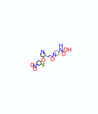 O=C(O)NC1CCN(C(=O)/C=C/c2cnccc2Oc2ccc([N+](=O)[O-])cc2F)CC1